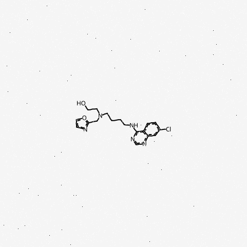 OCCN(CCCCNc1ncnc2cc(Cl)ccc12)Cc1ncco1